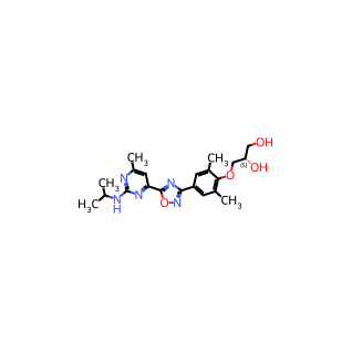 Cc1cc(-c2nc(-c3cc(C)c(OC[C@@H](O)CO)c(C)c3)no2)nc(NC(C)C)n1